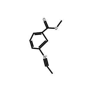 CC#[N+]c1cccc(C(=O)OC)c1